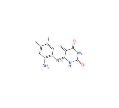 C=C1C(=O)NC(=O)N/C1=N/c1cc(C)c(C)cc1N